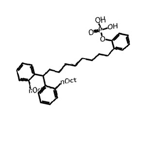 CCCCCCCCc1ccccc1C(CCCCCCCCc1ccccc1OP(=O)(O)O)c1ccccc1CCCCCCCC